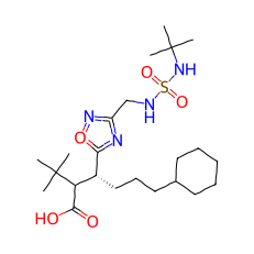 CC(C)(C)NS(=O)(=O)NCc1noc([C@H](CCCC2CCCCC2)C(C(=O)O)C(C)(C)C)n1